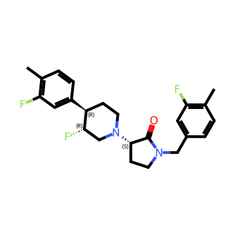 Cc1ccc(CN2CC[C@H](N3CC[C@H](c4ccc(C)c(F)c4)[C@@H](F)C3)C2=O)cc1F